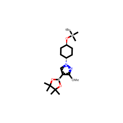 COc1nn([C@H]2CC[C@H](O[Si](C)(C)C(C)(C)C)CC2)cc1B1OC(C)(C)C(C)(C)O1